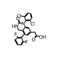 O=C(O)Cc1cc(-c2c(F)cccc2F)c2c(c1)N(c1c(Cl)cccc1Cl)C(=O)NC2